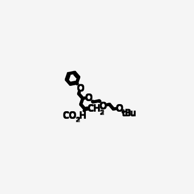 C=C(CC(COc1ccccc1)OCCOCCOC(C)(C)C)C(=O)O